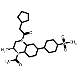 CC(=O)N1C2CCC(C3CCC(S(C)(=O)=O)CC3)CC2N(C(=O)CC2CCCC2)C[C@@H]1C